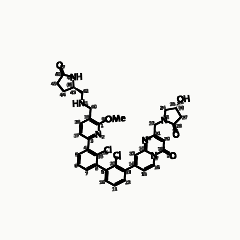 COc1nc(-c2cccc(-c3cccc(-c4ccn5c(=O)cc(CN6C[C@H](O)CC6=O)nc5c4)c3Cl)c2Cl)ccc1CNC[C@H]1CCC(=O)N1